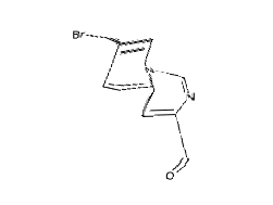 O=Cc1cc2cc(Br)cn2cn1